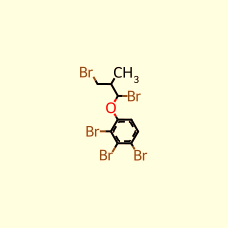 CC(CBr)C(Br)Oc1ccc(Br)c(Br)c1Br